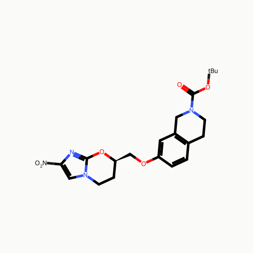 CC(C)(C)OC(=O)N1CCc2ccc(OC[C@H]3CCn4cc([N+](=O)[O-])nc4O3)cc2C1